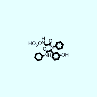 O=C(O)NCC(=O)N(c1ccccc1)C(C(=O)NC1CCCCC1)c1cccc(O)c1